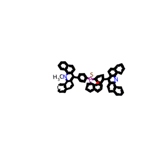 CN1c2c(ccc3ccccc23)C(c2ccc(P(=S)(c3ccc(-c4c5ccc6ccccc6c5nc5c4ccc4ccccc45)cc3)c3cccc4ccccc34)cc2)=C2C=Cc3ccccc3C21